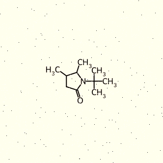 CC1CC(=O)N(C(C)(C)C)C1C